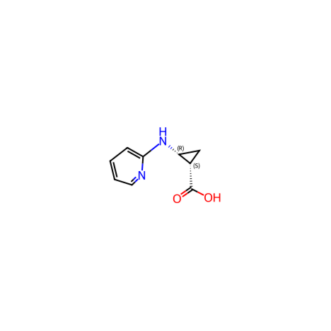 O=C(O)[C@H]1C[C@H]1Nc1ccccn1